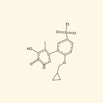 CCS(=O)(=O)c1ccc(OCC2CC2)c(-c2c[nH]c(=O)c(O)c2C)c1